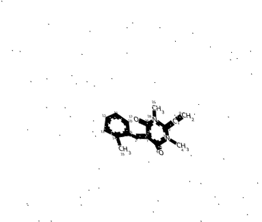 C=C=c1n(C)c(=O)c(=Cc2ccccc2C)c(=O)n1C